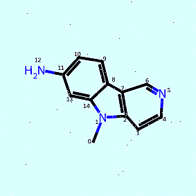 Cn1c2ccncc2c2ccc(N)cc21